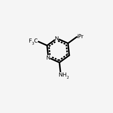 CC(C)c1cc(N)nc(C(F)(F)F)n1